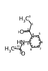 CCC(=O)c1ccccc1NC(C)=O